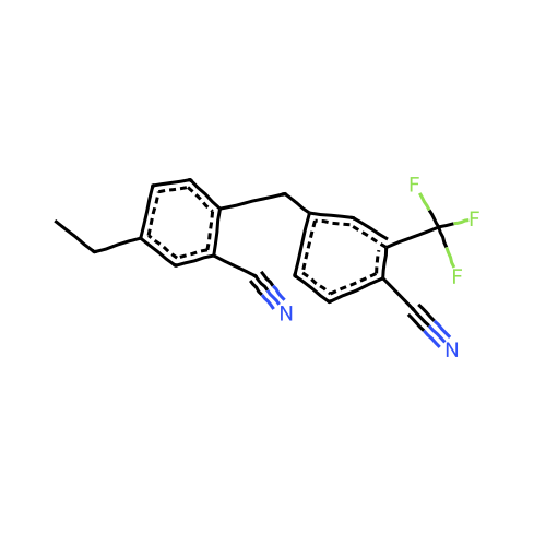 CCc1ccc(Cc2ccc(C#N)c(C(F)(F)F)c2)c(C#N)c1